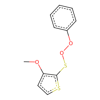 COc1ccsc1SOOc1ccccc1